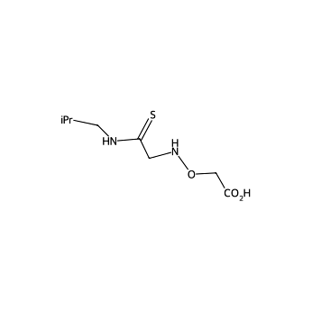 CC(C)CNC(=S)CNOCC(=O)O